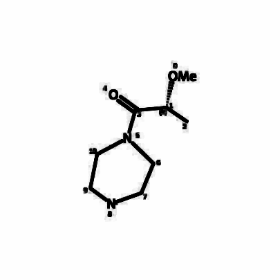 CO[C@H](C)C(=O)N1CC[N]CC1